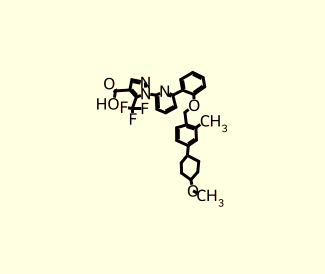 COC1CCC(c2ccc(COc3ccccc3-c3cccc(-n4ncc(C(=O)O)c4C(F)(F)F)n3)c(C)c2)CC1